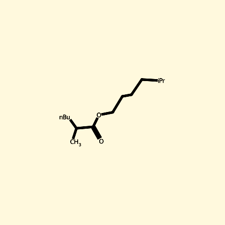 CCCCC(C)C(=O)OCCCCC(C)C